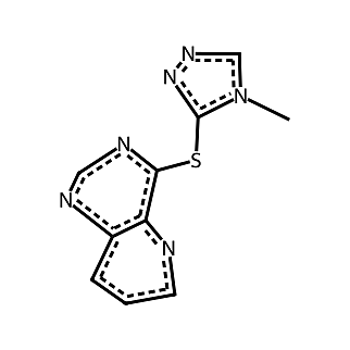 Cn1cnnc1Sc1ncnc2cccnc12